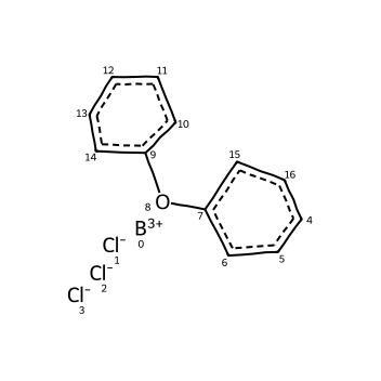 [B+3].[Cl-].[Cl-].[Cl-].c1ccc(Oc2ccccc2)cc1